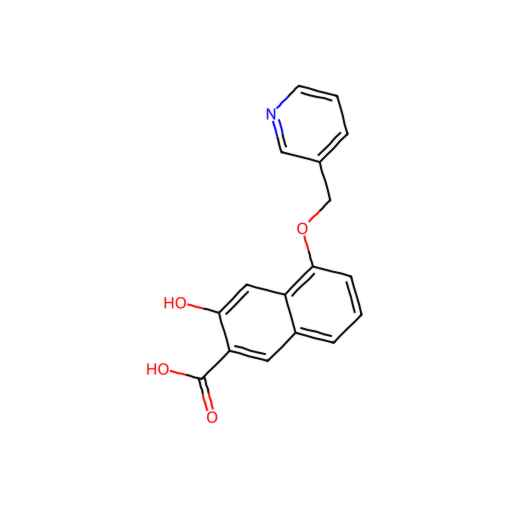 O=C(O)c1cc2cccc(OCc3cccnc3)c2cc1O